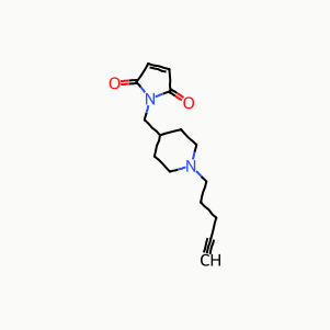 C#CCCCN1CCC(CN2C(=O)C=CC2=O)CC1